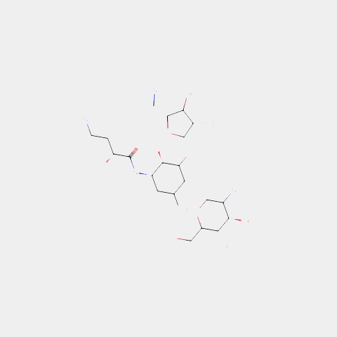 CC1C[C@@H](NC(=O)[C@@H](O)CCN)[C@@H](O)C(O[C@@H]2O[C@H](CN)C(O)[C@@H]2O)[C@@H]1O[C@H]1OC(CO)[C@@H](O)[C@H](O)C1N